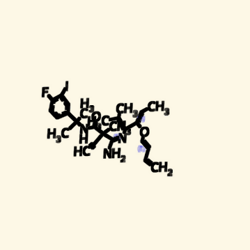 C#CC(C)(C(=O)NC(C)(C)c1ccc(F)c(I)c1)/C(N)=N\C(=C(C)C)/C(=C/C)O/C=C/C=C